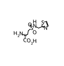 N[C@@H](CCS(=O)(=O)NCc1nccs1)C(=O)O